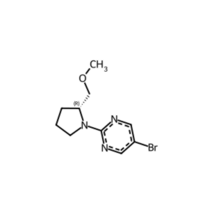 COC[C@H]1CCCN1c1ncc(Br)cn1